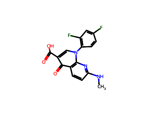 CNc1ccc2c(=O)c(C(=O)O)cn(-c3ccc(F)cc3F)c2n1